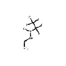 CCN[S+]([O-])C(F)(F)C(F)(F)F